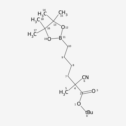 CC(C)(C)OC(=O)C(C)(C#N)CCCCB1OC(C)(C)C(C)(C)O1